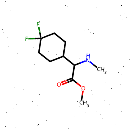 CNC(C(=O)OC)C1CCC(F)(F)CC1